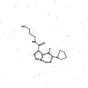 O=C(NCCCO)c1cnn2ccc(N3CCCC3)c(F)c12